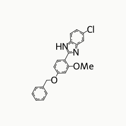 COc1cc(OCc2ccccc2)ccc1-c1nc2cc(Cl)ccc2[nH]1